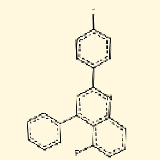 Fc1ccc(-c2cc(-c3ccccc3)c3c(F)cccc3n2)cc1